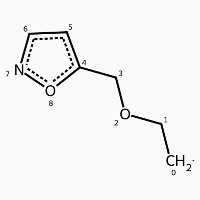 [CH2]COCc1ccno1